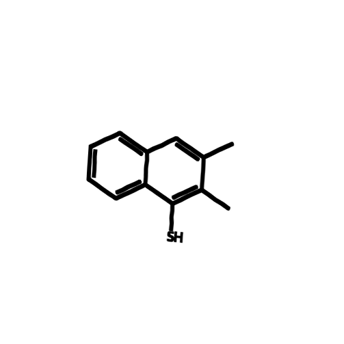 Cc1cc2ccccc2c(S)c1C